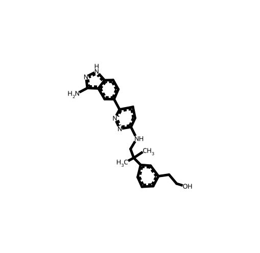 CC(C)(CNc1ccc(-c2ccc3[nH]nc(N)c3c2)nn1)c1cccc(CCO)c1